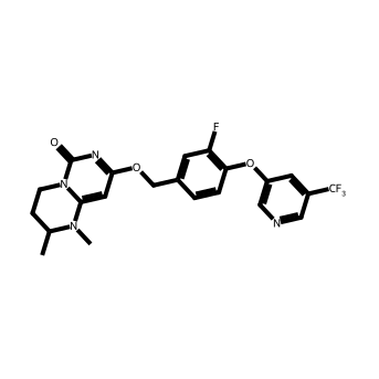 CC1CCn2c(cc(OCc3ccc(Oc4cncc(C(F)(F)F)c4)c(F)c3)nc2=O)N1C